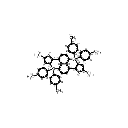 Cc1ccc([Si]2(c3ccc(C)cc3)c3cc(C)sc3-c3ccc4c5c(ccc2c35)-c2sc(C)cc2[Si]4(c2ccc(C)cc2)c2ccc(C)cc2)cc1